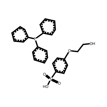 O=S(=O)(O)c1ccc(OCCO)cc1.c1ccc(P(c2ccccc2)c2ccccc2)cc1